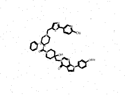 COc1ccc(-n2ccc3c(=O)n(CC4(O)CCN(C(=O)[C@@H]5CCN(Cc6cnc(-c7ccc(C#N)nc7)s6)C[C@H]5c5ccccc5)CC4)cnc32)cc1